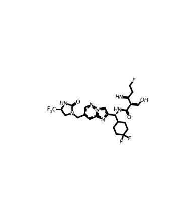 N=C(CCF)/C(=C\O)C(=O)N[C@H](c1cn2ncc(CN3C[C@@H](C(F)(F)F)NC3=O)cc2n1)C1CCC(F)(F)CC1